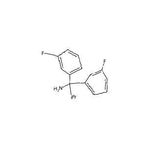 CC(C)C(N)(c1cccc(F)c1)c1cccc(F)c1